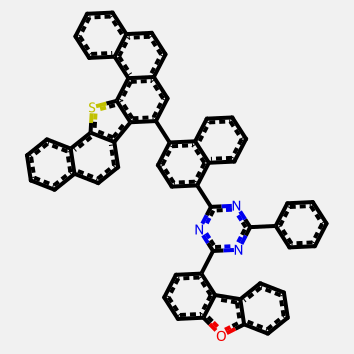 c1ccc(-c2nc(-c3ccc(-c4cc5ccc6ccccc6c5c5sc6c7ccccc7ccc6c45)c4ccccc34)nc(-c3cccc4oc5ccccc5c34)n2)cc1